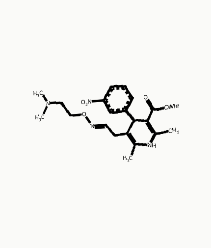 COC(=O)C1=C(C)NC(C)=C(CC=NOCCN(C)C)C1c1cccc([N+](=O)[O-])c1